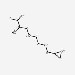 CC(C)C(O)COCCOCC1CO1